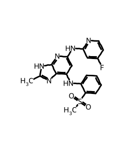 Cc1nc2c(Nc3ccccc3S(C)(=O)=O)cc(Nc3cc(F)ccn3)nc2[nH]1